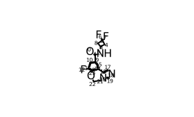 O=C(NC1CC(F)(F)C1)c1cc(F)c2c(c1)-c1cncn1CCO2